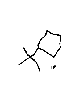 CC(C)(C)C1CCCCC1.F